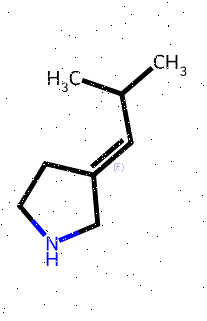 CC(C)/C=C1\CCNC1